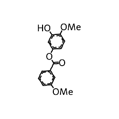 COc1cccc(C(=O)Oc2ccc(OC)c(O)c2)c1